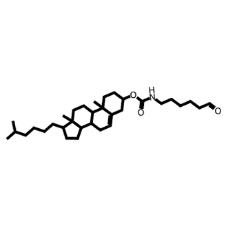 CC(C)CCCCC1CCC2C3CC=C4CC(OC(=O)NCCCCCC=O)CCC4(C)C3CCC12C